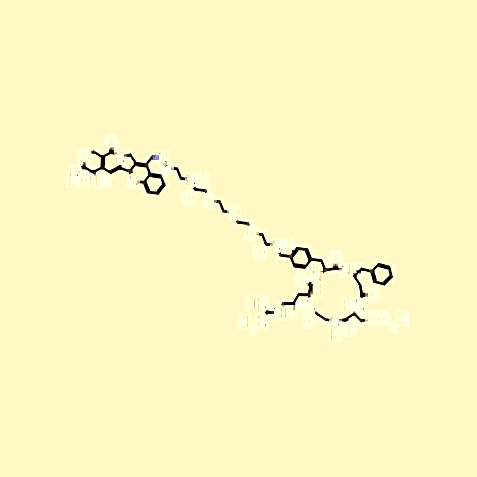 CC[C@@]1(O)C(=O)OCc2c1cc1n(c2=O)Cc2c-1nc1ccccc1c2/C=N\OCCNC(=O)COCCOCCOCC(=O)NCc1ccc(CC2NC(=O)C(CCCNC(=N)N)NC(=O)CNC(=O)C(CC(=O)O)NC(=O)CC(Cc3ccccc3)NC2=O)cc1